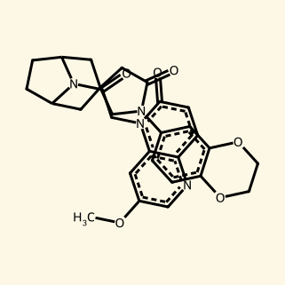 COc1cnc2ccc(=O)n(CC(=O)N3C4CCC3CC3(CC(=O)N(c5ccc6c(c5)OCCO6)C3)C4)c2c1